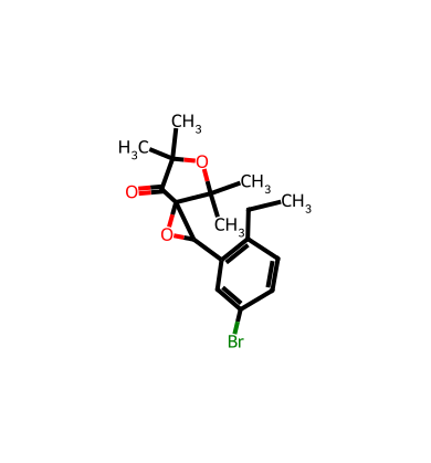 CCc1ccc(Br)cc1C1OC12C(=O)C(C)(C)OC2(C)C